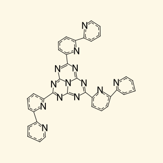 c1ccc(-c2cccc(C3=NC4=NC(c5cccc(-c6ccccn6)n5)=NC5=NC(c6cccc(-c7ccccn7)n6)=NC(=N3)N45)n2)nc1